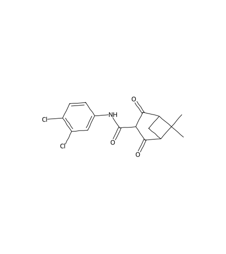 CC1(C)C2CC1C(=O)C(C(=O)Nc1ccc(Cl)c(Cl)c1)C2=O